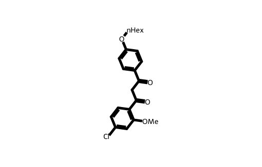 CCCCCCOc1ccc(C(=O)CC(=O)c2ccc(Cl)cc2OC)cc1